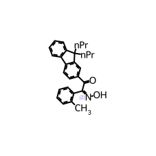 CCCC1(CCC)c2ccccc2-c2ccc(C(=O)/C(=N\O)c3ccccc3C)cc21